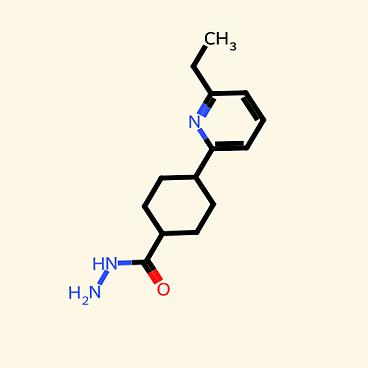 CCc1cccc(C2CCC(C(=O)NN)CC2)n1